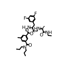 CCCN(CCC)C(=O)c1cc(C)cc(C(=O)O[C@H](CN[C@@H](C)C(=O)NCC)[C@@H](N)Cc2cc(F)cc(F)c2)c1